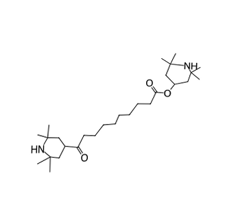 CC1(C)CC(OC(=O)CCCCCCCCC(=O)C2CC(C)(C)NC(C)(C)C2)CC(C)(C)N1